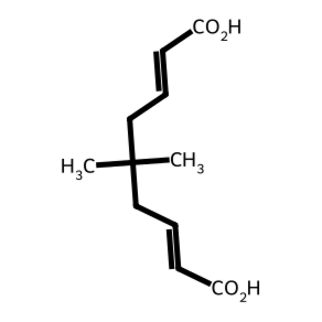 CC(C)(CC=CC(=O)O)CC=CC(=O)O